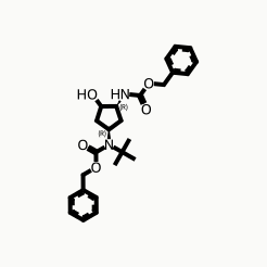 CC(C)(C)N(C(=O)OCc1ccccc1)[C@H]1CC(O)[C@H](NC(=O)OCc2ccccc2)C1